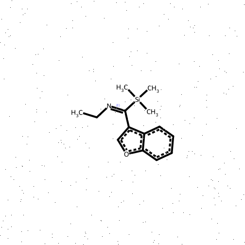 CC/N=C(\c1coc2ccccc12)[Si](C)(C)C